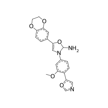 COc1cc(N2C=C(c3ccc4c(c3)OCCO4)OC2N)ccc1-c1cnco1